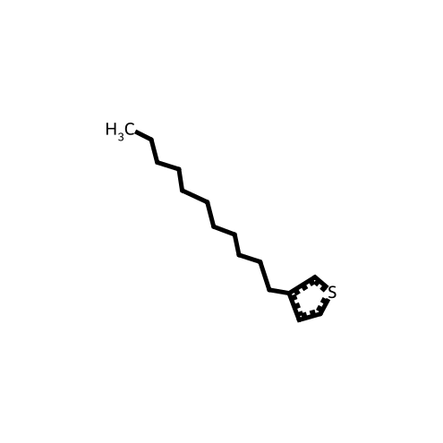 CCCCCCCCCCCc1ccsc1